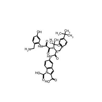 CC(C)(C)c1ccc(C[C@@H](C(=O)Nc2ccc3c(c2)cc(C(=O)O)n3C(=O)O)N(C(=O)C(=O)Nc2cc(O)ccc2CN)C(C)(C)C)cc1